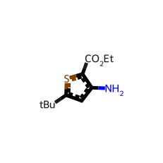 CCOC(=O)c1sc(C(C)(C)C)cc1N